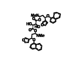 CNC(CC(Oc1cccc2ccccc12)c1ccoc1)OC(=O)C(O)C(O)C(=O)OC(CC(Oc1cccc2ccccc12)c1ccoc1)NC